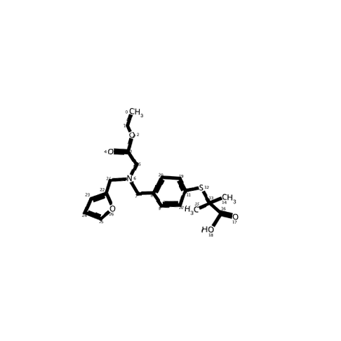 CCOC(=O)CN(Cc1ccc(SC(C)(C)C(=O)O)cc1)Cc1ccco1